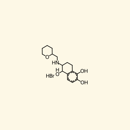 Br.Oc1ccc2c(c1O)CCC(NCC1CCCCO1)C2O